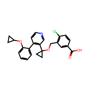 O=C(O)c1ccc(Cl)c(COC2(c3cnccc3-c3ccccc3OC3CC3)CC2)c1